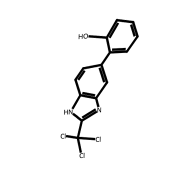 Oc1ccccc1-c1ccc2[nH]c(C(Cl)(Cl)Cl)nc2c1